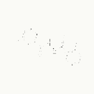 Cc1ccccc1C(=O)NNC(=O)c1cccc(I)c1